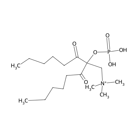 CCCCCC(=O)C(C[N+](C)(C)C)(OP(=O)(O)O)C(=O)CCCCC